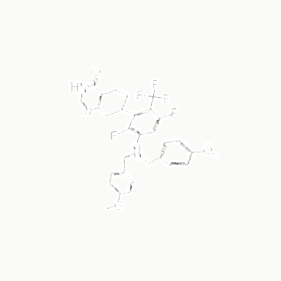 COc1ccc(CN(Cc2ccc(OC)cc2)c2cc(F)c(C(F)(F)F)c(C3CCc4c(nc[nH]c4=O)C3)c2F)cc1